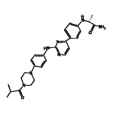 CC(C)C(=O)N1CCN(c2ccc(Nc3nccc(-c4ccc(N[C@H](C)C(N)=O)cc4)n3)cc2)CC1